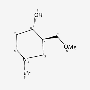 COC[C@H]1CN(C(C)C)CC[C@@H]1O